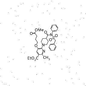 CCOC(=O)c1cc(OCCCC(=O)OC)c(N2CCC(C(=O)N(c3ccccc3)S(=O)(=O)Cc3ccccc3)CC2)nc1C